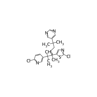 CC(C)(CCC(C)(c1cnc(Cl)s1)C(C)(C)c1ccc(Cl)nc1)c1cncnc1